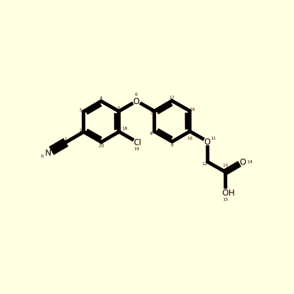 N#Cc1ccc(Oc2ccc(OCC(=O)O)cc2)c(Cl)c1